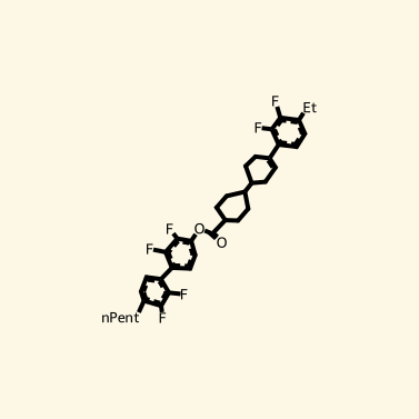 CCCCCc1ccc(-c2ccc(OC(=O)C3CCC(C4CC=C(c5ccc(CC)c(F)c5F)CC4)CC3)c(F)c2F)c(F)c1F